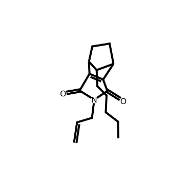 C=CCN1C(=O)C2=C(C1=O)C1CCC2C1CCCCC